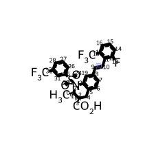 C[C@@H]1[C@H](C(=O)O)Cc2ccc(/C=C/c3c(F)cccc3C(F)(F)F)cc2N1S(=O)(=O)c1cccc(C(F)(F)F)c1